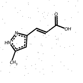 Cc1cc(C=CC(=O)O)n[nH]1